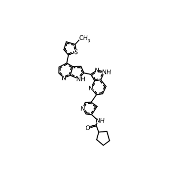 Cc1ccc(-c2ccnc3[nH]c(-c4n[nH]c5ccc(-c6cncc(NC(=O)C7CCCC7)c6)nc45)cc23)s1